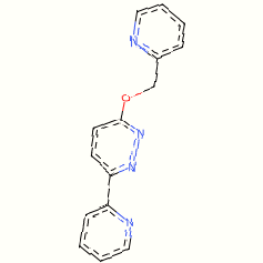 c1ccc(COc2ccc(-c3ccccn3)nn2)nc1